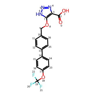 O=C(O)c1nn[nH]c1OCc1ccc(-c2ccc(OC(F)(F)F)cc2)cc1